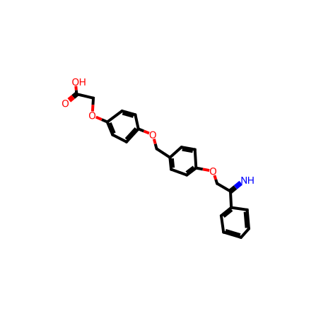 N=C(COc1ccc(COc2ccc(OCC(=O)O)cc2)cc1)c1ccccc1